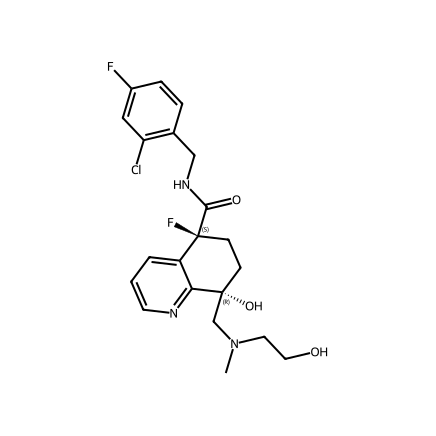 CN(CCO)C[C@]1(O)CC[C@@](F)(C(=O)NCc2ccc(F)cc2Cl)c2cccnc21